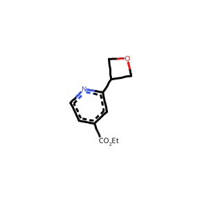 CCOC(=O)c1ccnc(C2COC2)c1